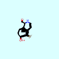 O=CC1NC=Cc2c1ccc(O)c2Br